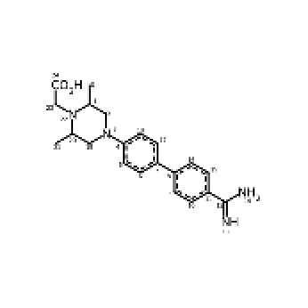 CC1CN(c2ccc(-c3ccc(C(=N)N)cc3)cc2)CC(C)N1CC(=O)O